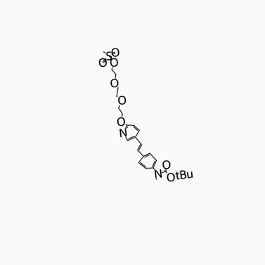 CN(C(=O)OC(C)(C)C)c1ccc(/C=C/c2ccc(OCCOCCOCCOS(C)(=O)=O)nc2)cc1